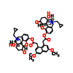 COc1cc(CC(=O)Oc2ccc3c4c2O[C@H]2C(=O)CC[C@@]5(O)[C@@H](C3)N(CC3CC3)CC[C@]425)c2c(CC(=O)Oc3ccc4c5c3O[C@H]3C(=O)CC[C@@]6(O)[C@@H](C4)N(CC4CC4)CC[C@]536)cc(OC)cc2c1